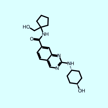 O=C(NC1(CO)CCCC1)c1ccc2cnc(N[C@H]3CC[C@H](O)CC3)nc2c1